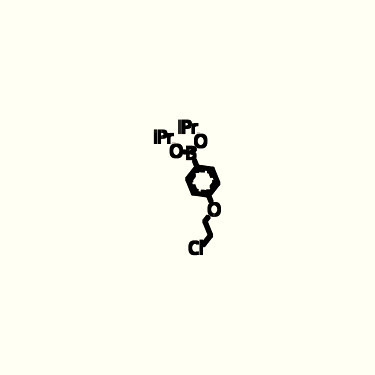 CC(C)OB(OC(C)C)c1ccc(OCCCl)cc1